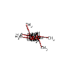 CCCCCCCCCCCCCC(=O)OC(CCCCCCCCCCC)CC(=O)NCC(OCC1OC(OP(=O)(O)O)C(NC(=O)CC(O)CCCCCCCCCCC)C(OC(=O)CC(O)CCCCCCCCCCC)C1OC)OC(CO)C(OP(=O)(O)O)C(C)OC(=O)CC(O)CCCCCCCCCCC